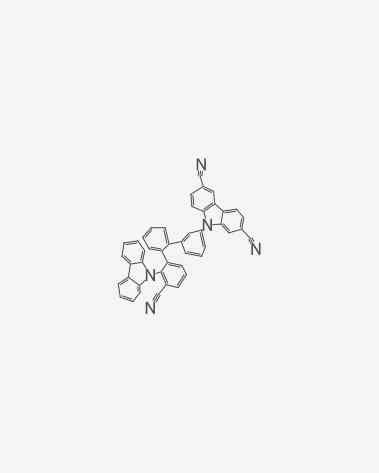 N#Cc1ccc2c(c1)c1ccc(C#N)cc1n2-c1cccc(-c2ccccc2-c2cccc(C#N)c2-n2c3ccccc3c3ccccc32)c1